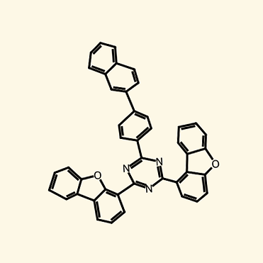 c1ccc2cc(-c3ccc(-c4nc(-c5cccc6c5oc5ccccc56)nc(-c5cccc6oc7ccccc7c56)n4)cc3)ccc2c1